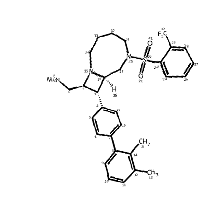 CNC[C@@H]1[C@@H](c2ccc(-c3cccc(C)c3C)cc2)[C@@H]2CN(S(=O)(=O)c3ccccc3C(F)(F)F)CCCCN12